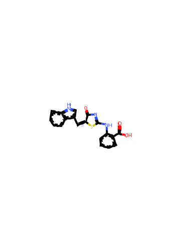 O=C1N=C(Nc2ccccc2C(=O)O)S/C1=C/c1c[nH]c2ccccc12